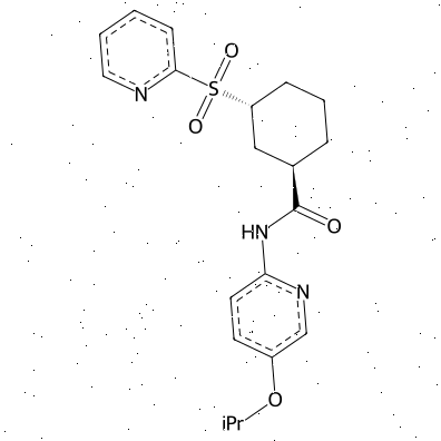 CC(C)Oc1ccc(NC(=O)[C@@H]2CCC[C@@H](S(=O)(=O)c3ccccn3)C2)nc1